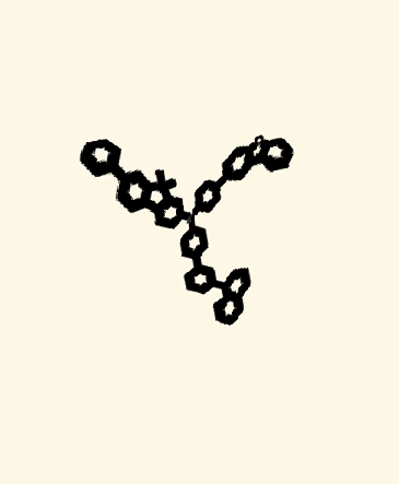 CC1(C)c2cc(-c3ccccc3)ccc2-c2ccc(N(c3ccc(-c4cccc(-c5cccc6ccccc56)c4)cc3)c3ccc(-c4ccc5oc6ccccc6c5c4)cc3)cc21